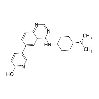 CN(C)[C@H]1CC[C@H](Nc2ncnc3ccc(-c4ccc(O)nc4)cc23)CC1